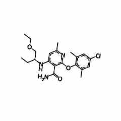 CCOCC(CC)Nc1cc(C)nc(Oc2c(C)cc(Cl)cc2C)c1C(N)=O